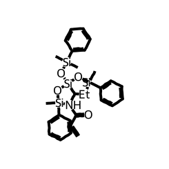 C=CC(=O)NC(CC)[Si](O[Si](C)(C)c1ccccc1)(O[Si](C)(C)c1ccccc1)O[Si](C)(C)c1ccccc1